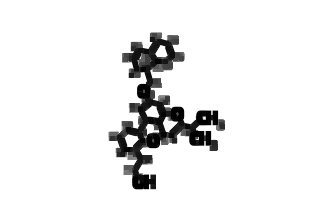 CC(C)c1cc(=O)c2c(-c3cccc(CCO)c3)cc(OCc3cccc4ccccc34)cc2o1